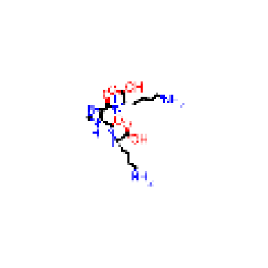 NCCCC[C@H](NC(=O)c1nc[nH]c1C(=O)N[C@@H](CCCCN)C(=O)O)C(=O)O